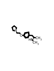 CNC(C)Cc1ccc(OCCN2CCCC2)cc1